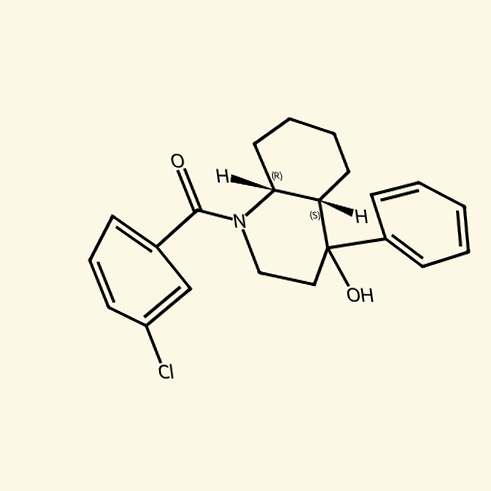 O=C(c1cccc(Cl)c1)N1CCC(O)(c2ccccc2)[C@H]2CCCC[C@H]21